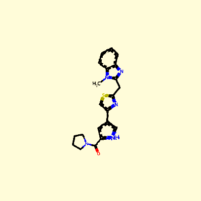 Cn1c(Cc2nc(-c3c[nH]c(C(=O)N4CCCC4)c3)cs2)nc2ccccc21